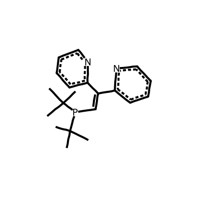 CC(C)(C)P(C=C(c1ccccn1)c1ccccn1)C(C)(C)C